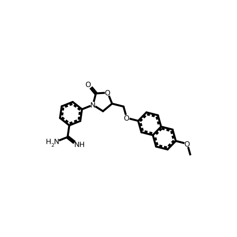 COc1ccc2cc(OCC3CN(c4cccc(C(=N)N)c4)C(=O)O3)ccc2c1